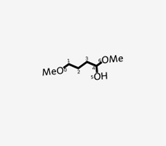 COCCCC(O)OC